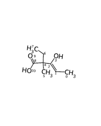 CC=C(O)C(C)(CC)C(=O)O